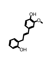 COc1cc(/C=C/Cc2ccccc2O)ccc1O